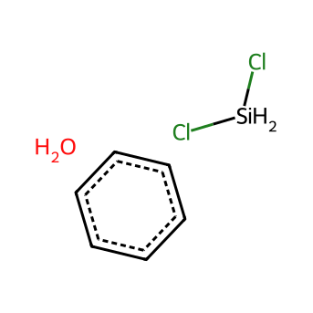 Cl[SiH2]Cl.O.c1ccccc1